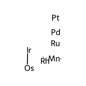 [Mn].[Os][Ir].[Pd].[Pt].[Rh].[Ru]